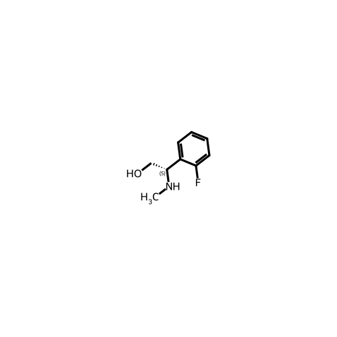 CN[C@H](CO)c1ccccc1F